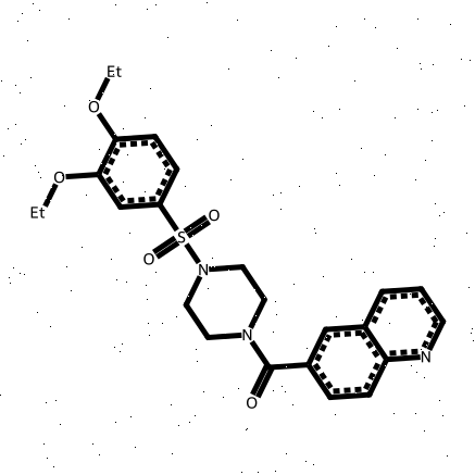 CCOc1ccc(S(=O)(=O)N2CCN(C(=O)c3ccc4ncccc4c3)CC2)cc1OCC